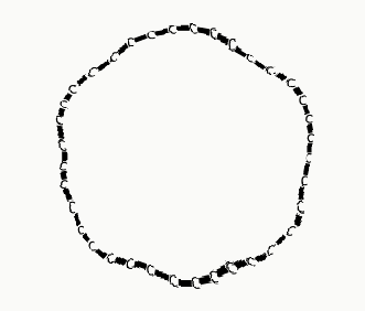 [CH]1CCCCCCCCCCCCCCCCCCCCCCCCCCCCCCCCCCC1